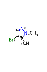 Cn1n[c]c(Br)c1C#N